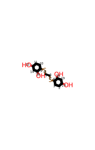 Oc1ccc(SCCSc2ccc(O)cc2O)c(O)c1